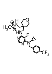 CS(=O)(=O)NCC1(CNc2ncnc(N(Cc3ccc(C(F)(F)F)cc3)C3CC3)c2F)CCOCC1